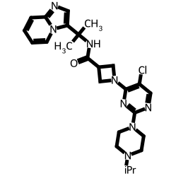 CC(C)N1CCN(c2ncc(Cl)c(N3CC(C(=O)NC(C)(C)c4cnc5ccccn45)C3)n2)CC1